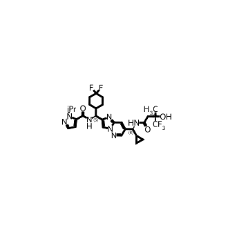 CC(C)n1nccc1C(=O)N[C@H](c1cn2ncc([C@H](NC(=O)C[C@](C)(O)C(F)(F)F)C3CC3)cc2n1)C1CCC(F)(F)CC1